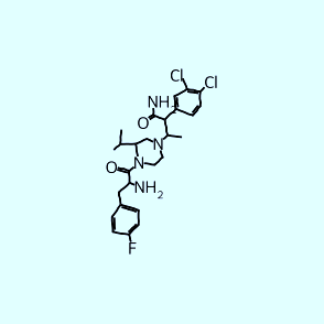 CC(C)C1CN(C(C)C(C(N)=O)c2ccc(Cl)c(Cl)c2)CCN1C(=O)C(N)Cc1ccc(F)cc1